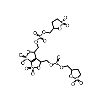 O=S(OCC1CCS(=O)(=O)O1)OCC1OS(=O)(=O)C2=C1C(COS(=O)(=O)OCC1CCS(=O)(=O)O1)OS2(=O)=O